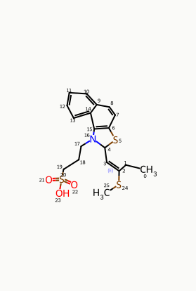 CC/C(=C\C1Sc2ccc3ccccc3c2N1CCCS(=O)(=O)O)SC